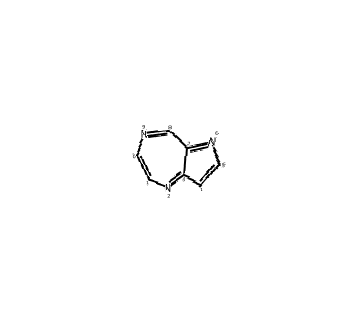 c1cnc2ccnc-2cn1